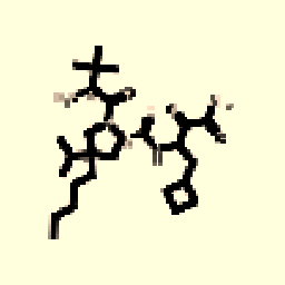 CCCCC[C@]1(C(C)C)C[C@@H](C(=O)NC(CC2CCC2)C(=O)C(N)=O)N(C(=O)[C@@H](N)C(C)(C)C)C1